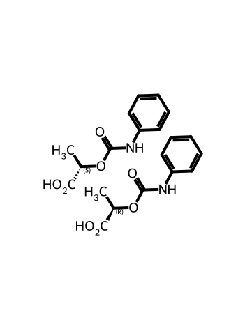 C[C@@H](OC(=O)Nc1ccccc1)C(=O)O.C[C@H](OC(=O)Nc1ccccc1)C(=O)O